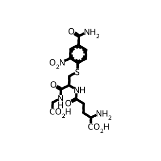 NC(=O)c1ccc(SCC(NC(=O)CCC(N)C(=O)O)C(=O)NCC(=O)O)c([N+](=O)[O-])c1